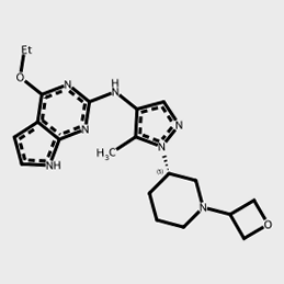 CCOc1nc(Nc2cnn([C@H]3CCCN(C4COC4)C3)c2C)nc2[nH]ccc12